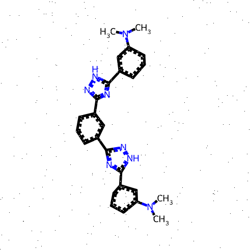 CN(C)c1cccc(-c2nc(-c3cccc(-c4n[nH]c(-c5cccc(N(C)C)c5)n4)c3)n[nH]2)c1